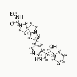 CCNC(=O)N1CCC2(CCn3nc(-c4cnc5[nH]cc(C(O)c6ccccc6)c5c4)cc32)C1